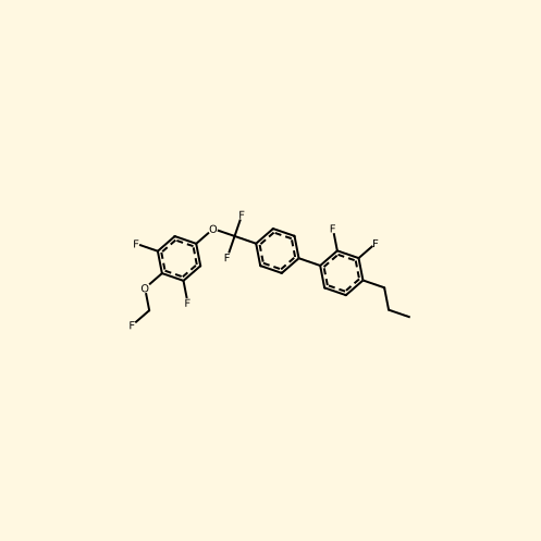 CCCc1ccc(-c2ccc(C(F)(F)Oc3cc(F)c(OCF)c(F)c3)cc2)c(F)c1F